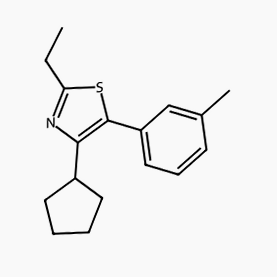 CCc1nc(C2CCCC2)c(-c2cccc(C)c2)s1